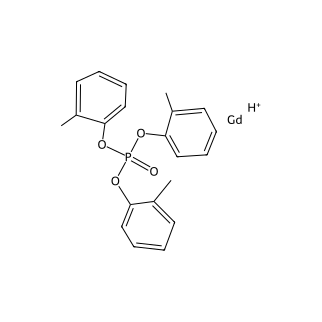 Cc1ccccc1OP(=O)(Oc1ccccc1C)Oc1ccccc1C.[Gd].[H+]